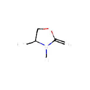 C=C1OCC(C)N1C